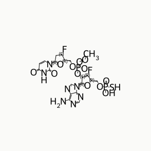 COOP(=O)(OC[C@H]1O[C@@H](n2ccc(=O)[nH]c2=O)C[C@@H]1F)O[C@@H]1[C@H](F)[C@@H](COP(=O)(O)S)O[C@H]1n1cnc2c(N)ncnc21